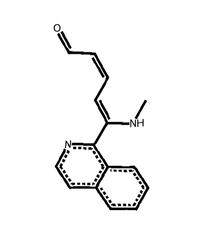 CN/C(=C\C=C/C=O)c1nccc2ccccc12